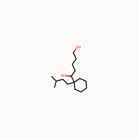 CC(C)CCC1(C(O)CCCCO)CCCCC1